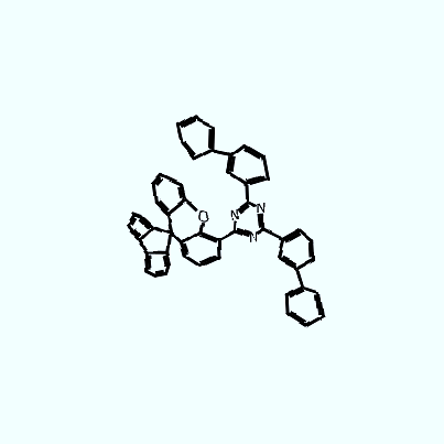 c1ccc(-c2cccc(-c3nc(-c4cccc(-c5ccccc5)c4)nc(-c4cccc5c4Oc4ccccc4C54c5ccccc5-c5ccccc54)n3)c2)cc1